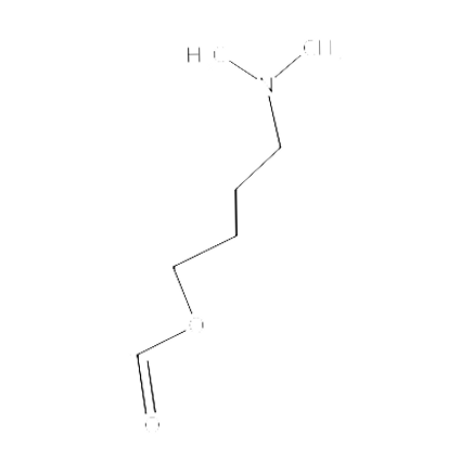 CN(C)CCCCO[C]=O